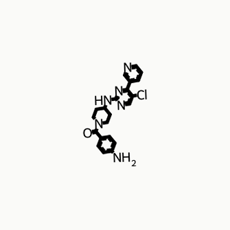 Nc1ccc(C(=O)N2CCC(Nc3ncc(Cl)c(-c4cccnc4)n3)CC2)cc1